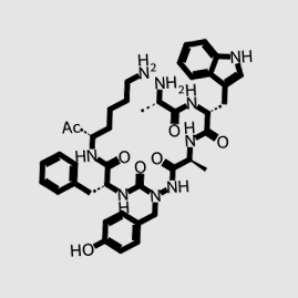 CC(=O)[C@H](CCCCN)NC(=O)[C@@H](Cc1ccccc1)NC(=O)N(Cc1ccc(O)cc1)NC(=O)[C@H](C)NC(=O)[C@@H](Cc1c[nH]c2ccccc12)NC(=O)[C@H](C)N